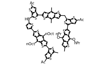 CCCCCCCCc1c2cc(-c3sc(C)c4sc(C(C)=O)cc34)sc2c(CCCCCCCC)c2cc(-c3ccc(Bc4sc(-c5cc6c(C)c7sc(Cc8sc(-c9cc%10c(OCCC)c%11sc(C)cc%11c(OCCC)c%10s9)c9cc(C(C)=O)sc89)cc7c(C)c6s5)c5cc(C(C)=O)sc45)s3)sc12